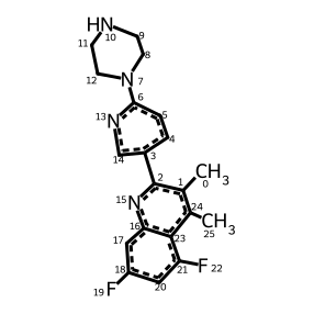 Cc1c(-c2ccc(N3CCNCC3)nc2)nc2cc(F)cc(F)c2c1C